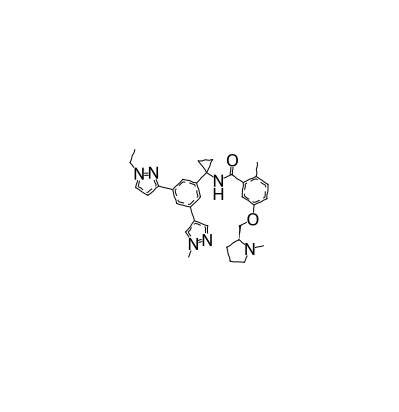 CCn1ccc(-c2cc(-c3cnn(C)c3)cc(C3(NC(=O)c4cc(OC[C@@H]5CCCN5C)ccc4C)CC3)c2)n1